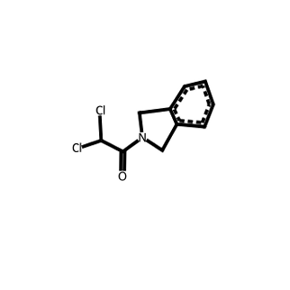 O=C(C(Cl)Cl)N1Cc2ccccc2C1